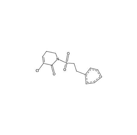 O=C1C(Cl)=CCCN1S(=O)(=O)CCc1ccccc1